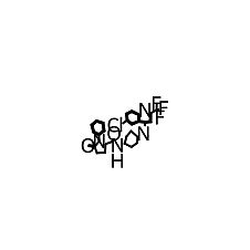 CN(c1cc(C(F)(F)F)nc2ccc(Cl)cc12)[C@H]1CC[C@@H](NC(=O)C2CCC(=O)N2c2ccccc2)CC1